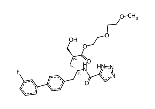 COCCOCCOC(=O)[C@H](CO)C[C@@H](Cc1ccc(-c2cccc(F)c2)cc1)NC(=O)c1cnn[nH]1